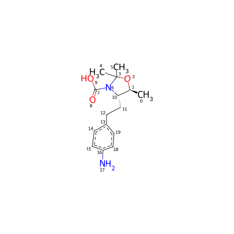 C[C@@H]1OC(C)(C)N(C(=O)O)[C@H]1CCc1ccc(N)cc1